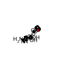 C[C@@]1(c2ccc3c(N)ncnn23)O[C@H](COC(=O)OC23CC4CC(CC(C4)C2)C3)[C@@H](O)[C@H]1O